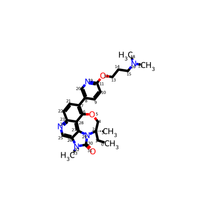 CC[C@]1(C)COc2c(-c3ccc(OCCCN(C)C)nc3)ccc3ncc4c(c23)n1c(=O)n4C